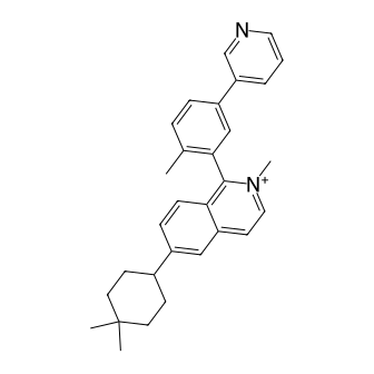 Cc1ccc(-c2cccnc2)cc1-c1c2ccc(C3CCC(C)(C)CC3)cc2cc[n+]1C